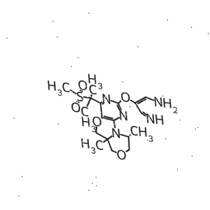 C[C@@H]1COCC2(C)COc3c(nc(O/C(C=N)=C/N)nc3C(C)(C)S(C)(=O)=O)N12